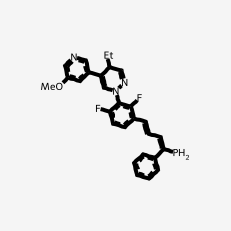 CCC1C=NN(c2c(F)ccc(/C=C/C=C(/P)c3ccccc3)c2F)C=C1c1cncc(OC)c1